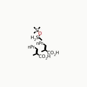 CCCC=C(C)C(=O)O.CCCC=C(C)C(=O)O.C[SiH2]O[Si](C)(C)C